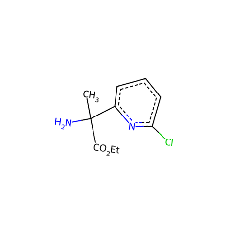 CCOC(=O)C(C)(N)c1cccc(Cl)n1